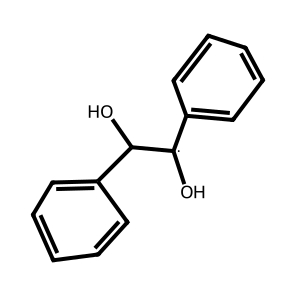 O[C](c1ccccc1)C(O)c1ccccc1